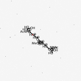 COP(=O)(O)OC(COC(=O)NCCC(=O)NCCCO[C@@H]1O[C@H](CO)[C@H](O)[C@H](O)C1NC(C)=O)COC(=O)NCCC(=O)NCCCO[C@@H]1O[C@H](CO)[C@H](O)[C@H](O)[C@H]1NC(C)=O